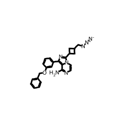 [N-]=[N+]=NCC1CC(c2nc(-c3cccc(OCc4ccccc4)c3)c3c(N)nccn23)C1